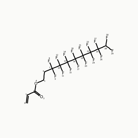 C=CC(=O)OCCC(F)(F)C(F)(F)C(F)(F)C(F)(F)C(F)(F)C(F)(F)C(F)(F)C(F)F